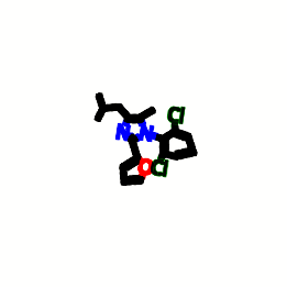 Cc1c(CC(C)C)nc(-c2ccco2)n1-c1c(Cl)cccc1Cl